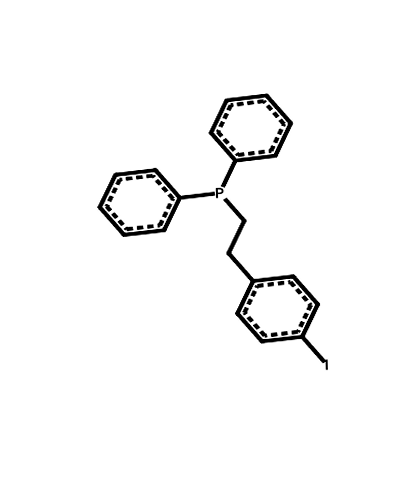 Ic1ccc(CCP(c2ccccc2)c2ccccc2)cc1